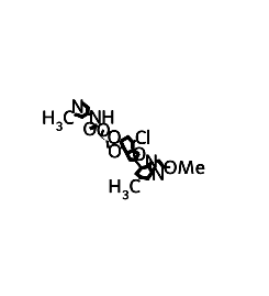 COc1cnc2c(-c3cc4c5c(cc(Cl)c4o3)O[C@@H](COC(=O)Nc3ccnc(C)c3)CO5)cc(C)cc2n1